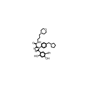 CC(C)c1cc(-c2nnc(C(=O)NCCCN3CCOCC3)n2-c2ccc(CN3CCCC3)cc2)c(O)cc1O